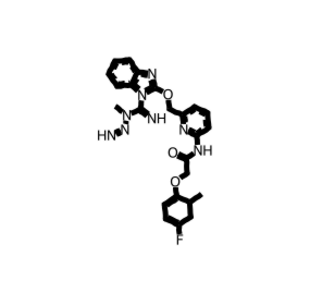 CC1CC(F)=CC=C1OCC(=O)Nc1cccc(COc2nc3ccccc3n2C(=N)N(C)N=N)n1